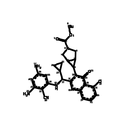 CC(C)(C)OC(=O)N1CC2C(C1)C2n1c([C@@H](Nc2nc(N)nc(N)c2C#N)C2CC2)nc2cccc(Cl)c2c1=O